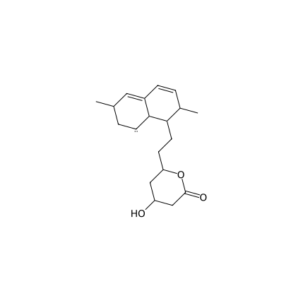 CC1C=C2C=CC(C)C(CCC3CC(O)CC(=O)O3)C2[C]C1